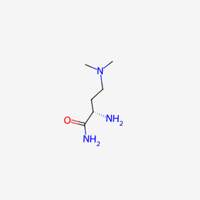 CN(C)CC[C@H](N)C(N)=O